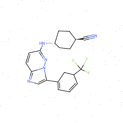 N#C[C@H]1CC[C@H](Nc2ccc3ncc(C4=CC=CC(C(F)(F)F)C4)n3n2)CC1